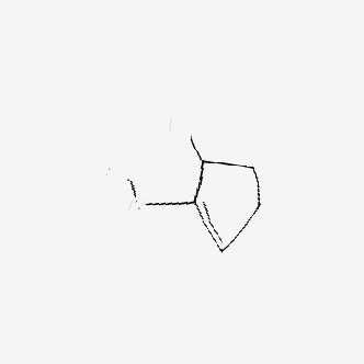 CC(=O)NC1=CCCC1C